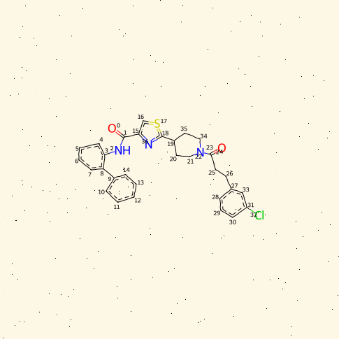 O=C(Nc1ccccc1-c1ccccc1)c1csc(C2CCN(C(=O)CCc3cccc(Cl)c3)CC2)n1